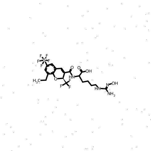 CCc1cc(S(F)(F)(F)(F)F)cc2c1O[C@H](C(F)(F)F)C(C(=O)NC(CCCCNC(N)=NO)C(=O)O)=C2